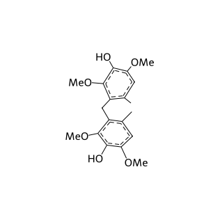 COc1cc(C)c(Cc2c(C)cc(OC)c(O)c2OC)c(OC)c1O